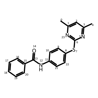 Cc1cc(C)nc(Sc2ccc(NC(=O)c3ccccc3)cc2)n1